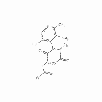 CCC(=O)SCC(=O)N(c1c(C)ccc(C)c1C)C(C)C(=O)OC